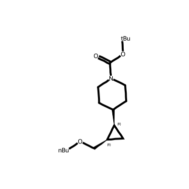 CCCCOC[C@@H]1C[C@@H]1C1CCN(C(=O)OC(C)(C)C)CC1